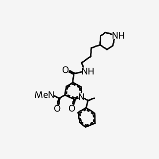 CNC(=O)c1cc(C(=O)NCCCC2CCNCC2)cn(C(C)c2ccccc2)c1=O